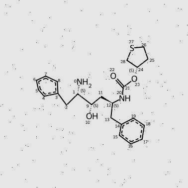 N[C@@H](Cc1ccccc1)[C@@H](O)C[C@H](Cc1ccccc1)NC(=O)O[C@H]1CCSC1